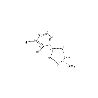 CCCC1CCC(c2cccc(F)c2F)CO1